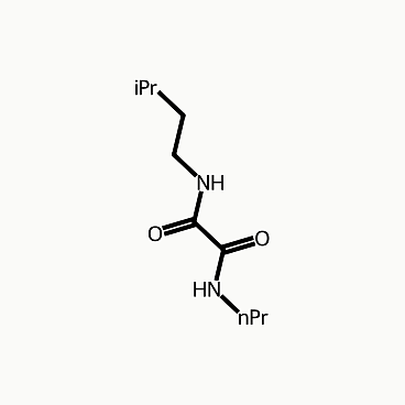 CCCNC(=O)C(=O)NCCC(C)C